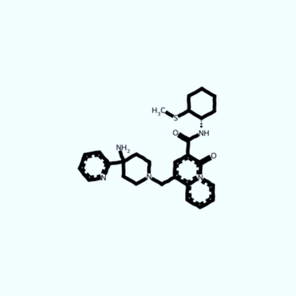 CSC1CCCC[C@@H]1NC(=O)c1cc(CN2CCC(N)(c3ccccn3)CC2)c2ccccn2c1=O